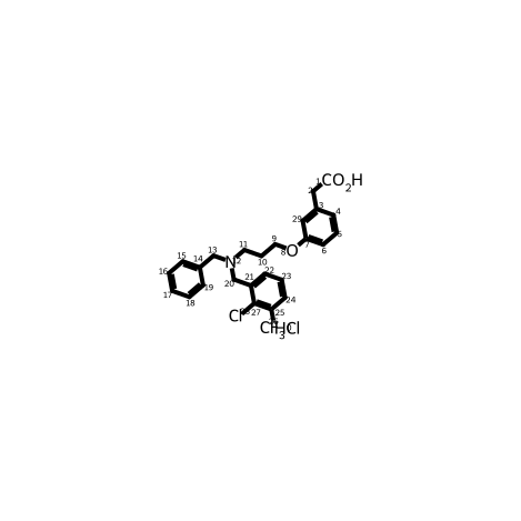 Cl.O=C(O)Cc1cccc(OCCCN(Cc2ccccc2)Cc2cccc(C(F)(F)F)c2Cl)c1